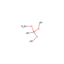 CCCOC(CCC)(O[SiH3])OCCC